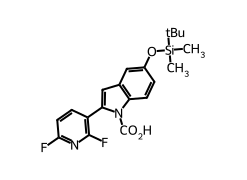 CC(C)(C)[Si](C)(C)Oc1ccc2c(c1)cc(-c1ccc(F)nc1F)n2C(=O)O